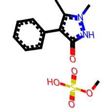 COS(=O)(=O)O.Cc1c(-c2ccccc2)c(=O)[nH]n1C